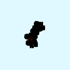 C[Si](C)(C)c1ccc(N(c2ccc3c(c2)C2(c4ccccc4-c4cc5c6ccccc6c6ccccc6c5cc42)c2cc(N(c4ccc([Si](C)(C)C)cc4)c4cccc5c4oc4c(C#N)cccc45)ccc2-3)c2cccc3c2oc2c(C#N)cccc23)cc1